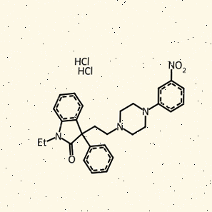 CCN1C(=O)C(CCN2CCN(c3cccc([N+](=O)[O-])c3)CC2)(c2ccccc2)c2ccccc21.Cl.Cl